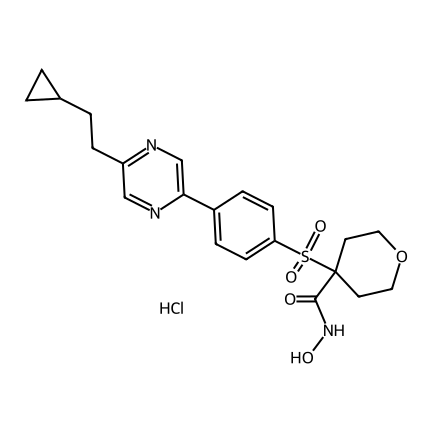 Cl.O=C(NO)C1(S(=O)(=O)c2ccc(-c3cnc(CCC4CC4)cn3)cc2)CCOCC1